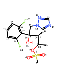 C[C@@H](OS(C)(=O)=O)[C@H](C)[C@](O)(Cn1cncn1)c1c(F)cccc1F